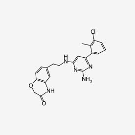 Cc1c(Cl)cccc1-c1cc(NCCc2ccc3c(c2)NC(=O)CO3)nc(N)n1